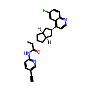 C#Cc1ccc(NC(=O)C(C)[C@@H]2C[C@H]3C[C@@H](c4ccnc5ccc(F)cc45)C[C@H]3C2)nc1